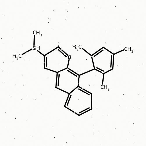 Cc1cc(C)c(-c2c3b[c]c([SiH](C)C)cc3cc3ccccc23)c(C)c1